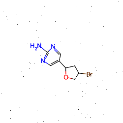 Nc1ncc(C2CC(Br)CO2)cn1